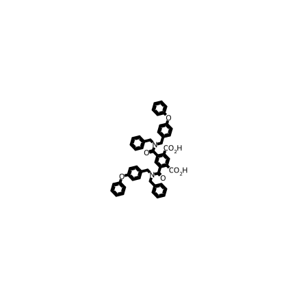 O=C(O)c1cc(C(=O)O)c(C(=O)N(Cc2ccccc2)Cc2ccc(Oc3ccccc3)cc2)cc1C(=O)N(Cc1ccccc1)Cc1ccc(Oc2ccccc2)cc1